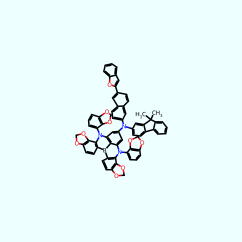 CC1(C)c2ccccc2-c2ccc(N(c3cc4c5c(c3)N(c3cccc6c3OCO6)c3c(ccc6c3OCO6)B5c3ccc5c(c3N4c3cccc4c3OCO4)OCO5)c3ccc4cc(-c5cc6ccccc6o5)ccc4c3)cc21